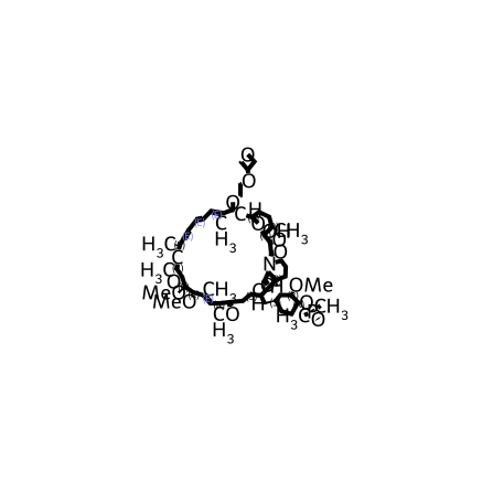 CO[C@@H]1/C(C)=C/[C@@H](C)C(=O)C[C@@H]2OC(=O)C3[C@H](CCCN3C(=O)C(=O)[C@]3(O)O[C@@H](CC[C@H]3C)CC(OCCOC3COC3)/C(C)=C/C=C/C=C/[C@@H](C)C[C@@H](C)C(=O)[C@@H]1OC)C2C[C@@H]1CC[C@@H](OP(C)(C)=O)[C@H](OC)C1